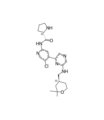 CC1(C)C[C@@H](CNc2cncc(-c3cc(NC(=O)[C@@H]4CCCN4)ncc3Cl)n2)CCO1